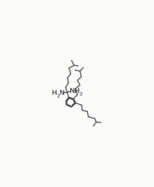 CC(C)CCCCCc1cccc(C(N)(N)CCCCCC(C)C)c1CCCCCC(C)C